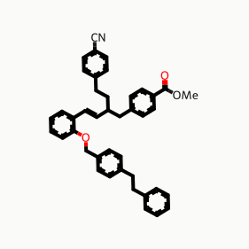 COC(=O)c1ccc(CC(C=Cc2ccccc2OCc2ccc(CCc3ccccc3)cc2)CCc2ccc(C#N)cc2)cc1